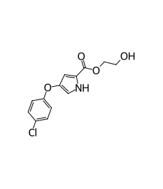 O=C(OCCO)c1cc(Oc2ccc(Cl)cc2)c[nH]1